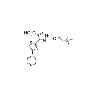 C[Si](C)(C)CCOCn1cc(C(=O)O)c(-c2nc(-c3ccccc3)cs2)n1